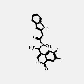 CC(c1c[nH]c(=O)c2cc(F)c(F)cc12)N(C)C(=O)Cc1cc2ccccc2[nH]1